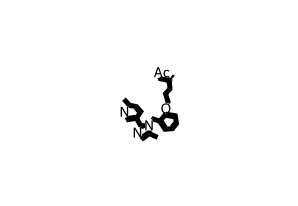 CC(=O)C[C@@H](C)CCCOc1ccccc1Cn1c(C)cnc1-c1ccc(C)nc1